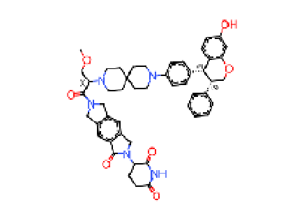 COC[C@H](C(=O)N1Cc2cc3c(cc2C1)C(=O)N(C1CCC(=O)NC1=O)C3)N1CCC2(CCN(c3ccc([C@@H]4c5ccc(O)cc5OC[C@@H]4c4ccccc4)cc3)CC2)CC1